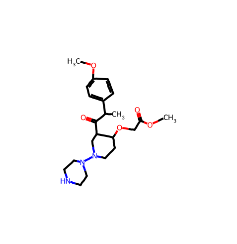 COC(=O)COC1CCN(N2CCNCC2)CC1C(=O)C(C)c1ccc(OC)cc1